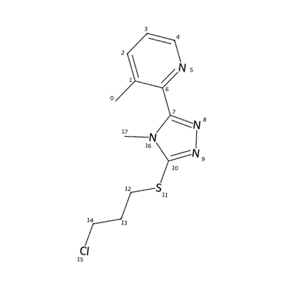 Cc1cccnc1-c1nnc(SCCCCl)n1C